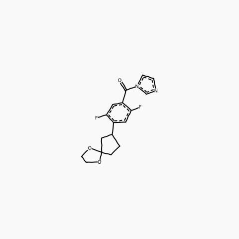 O=C(c1cc(F)c(C2CCC3(C2)OCCO3)cc1F)n1ccnc1